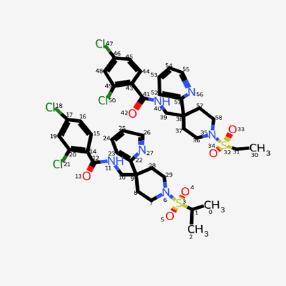 CC(C)S(=O)(=O)N1CCC(CNC(=O)c2ccc(Cl)cc2Cl)(c2ccccn2)CC1.CCS(=O)(=O)N1CCC(CNC(=O)c2ccc(Cl)cc2Cl)(c2ccccn2)CC1